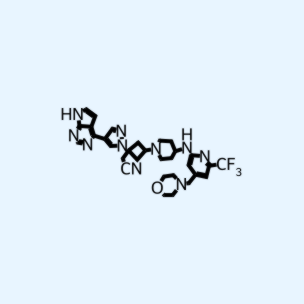 N#CCC1(n2cc(-c3ncnc4[nH]ccc34)cn2)CC(N2CCC(Nc3cc(CN4CCOCC4)cc(C(F)(F)F)n3)CC2)C1